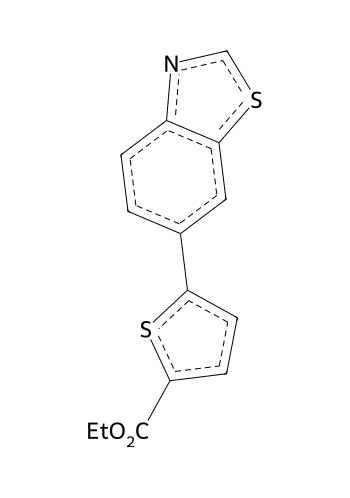 CCOC(=O)c1ccc(-c2ccc3ncsc3c2)s1